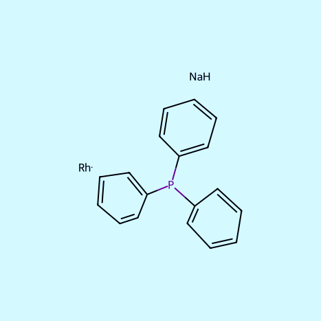 [NaH].[Rh].c1ccc(P(c2ccccc2)c2ccccc2)cc1